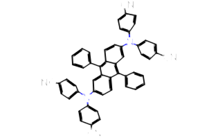 N#Cc1ccc(N(c2ccc(C#N)cc2)c2ccc3c(-c4ccccc4)c4cc(N(c5ccc(C#N)cc5)c5ccc(C#N)cc5)ccc4c(-c4ccccc4)c3c2)cc1